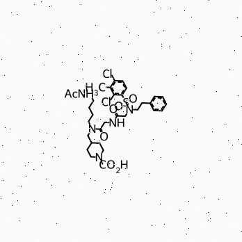 CC(=O)NCCCCN(CC1CCN(C(=O)O)CC1)C(=O)CNC(=O)CN(CCc1ccccc1)S(=O)(=O)c1ccc(Cl)c(C)c1Cl